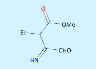 CCC(C(=N)[C]=O)C(=O)OC